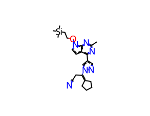 Cc1nc(-c2cnn(C(CC#N)=C3CCCC3)c2)c2ccn(OCC[Si](C)(C)C)c2n1